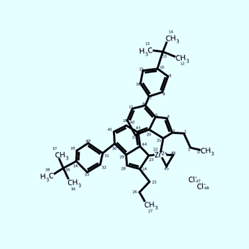 CCCC1=Cc2c(-c3ccc(C(C)(C)C)cc3)cccc2[CH]1[Zr+2]1([CH]2C(CCC)=Cc3c(-c4ccc(C(C)(C)C)cc4)cccc32)[CH2][CH2]1.[Cl-].[Cl-]